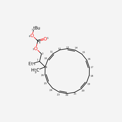 CCC(COC(=O)OC(C)(C)C)C1(C)/C=C\C/C=C\C/C=C\C/C=C\C/C=C\C/C=C\1